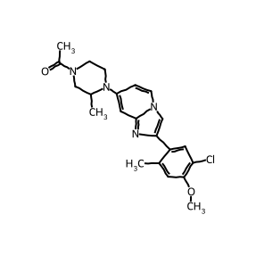 COc1cc(C)c(-c2cn3ccc(N4CCN(C(C)=O)CC4C)cc3n2)cc1Cl